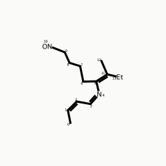 C\C=C/C=N\C(CCCCN=O)=C(\C)CC